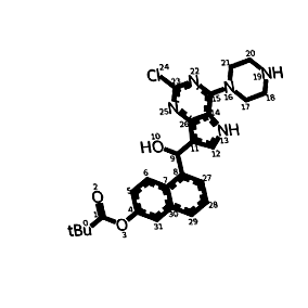 CC(C)(C)C(=O)Oc1ccc2c(C(O)c3c[nH]c4c(N5CCNCC5)nc(Cl)nc34)cccc2c1